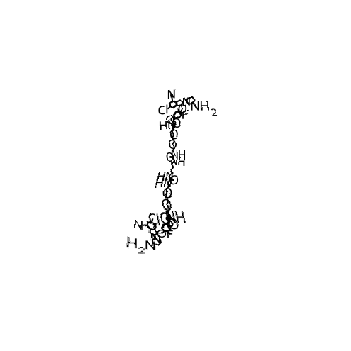 N#Cc1cc(Cl)cc2c1C[C@H](N1CCC[C@@H](N)C1)[C@H]2Oc1ccc(S(=O)(=O)NCCOCCOCCNC(=O)NCCCCNC(=O)NCCOCCOCCNS(=O)(=O)c2ccc(O[C@H]3c4cc(Cl)cc(C#N)c4C[C@@H]3N3CCC[C@@H](N)C3)c(F)c2)cc1F